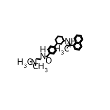 C[C@@H](NC1CCCC(c2ccc(C(=O)NCCN(C)C)cc2)C1)c1cccc2ccccc12